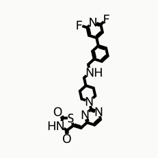 O=C1NC(=O)C(=Cc2ccnc(N3CCC(CNCc4cccc(-c5cc(F)nc(F)c5)c4)CC3)n2)S1